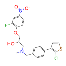 CN(Cc1ccc(-c2ccsc2Cl)cc1)CC(O)COc1ccc([N+](=O)[O-])cc1F